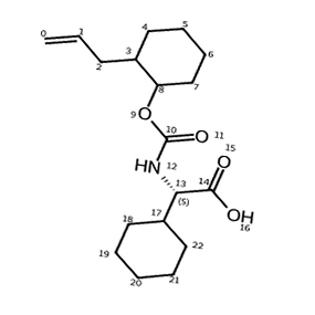 C=CCC1CCCCC1OC(=O)N[C@H](C(=O)O)C1CCCCC1